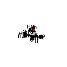 O=C(CCN(CCNCCc1ccc(O)c2[nH]c(=O)sc12)C1CCOCC1)NCCc1ccc(Cl)cc1.O=C(O)C(F)(F)F.O=C(O)C(F)(F)F